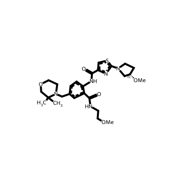 COCCNC(=O)c1cc(CN2CCOCC2(C)C)ccc1NC(=O)c1csc(N2CC[C@H](OC)C2)n1